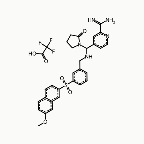 COc1ccc2ccc(S(=O)(=O)c3cccc(CNC(c4ccnc(C(=N)N)c4)N4CCCC4=O)c3)cc2c1.O=C(O)C(F)(F)F